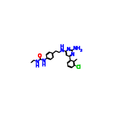 CCNC(=O)Nc1ccc(CCNc2cc(-c3cccc(Cl)c3C)nc(N)n2)cc1